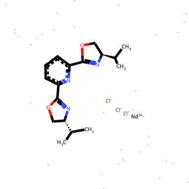 CC(C)[C@@H]1COC(c2cccc(C3=N[C@H](C(C)C)CO3)n2)=N1.[Cl-].[Cl-].[Cl-].[Nd+3]